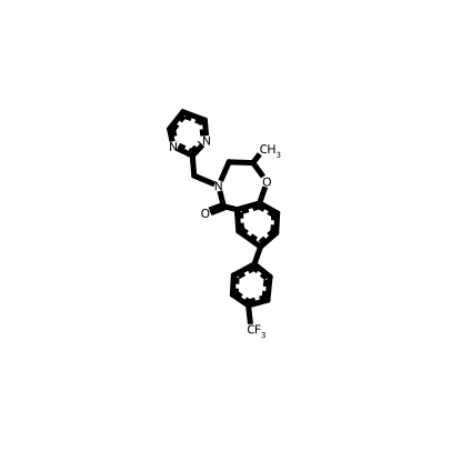 CC1CN(Cc2ncccn2)C(=O)c2cc(-c3ccc(C(F)(F)F)cc3)ccc2O1